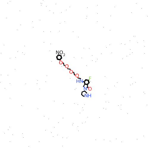 O=C1c2cc(F)cc(NCCOCCOCCOCCOc3ccc([N+](=O)[O-])cc3)c2CN1C1CCCNC1